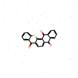 O=C1c2ccccc2C(=O)c2c1ccc1c(=O)c3ccccc3sc21